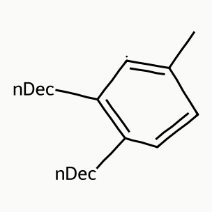 CCCCCCCCCCc1[c]c(C)ccc1CCCCCCCCCC